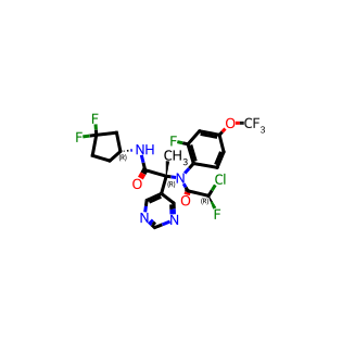 C[C@](C(=O)N[C@@H]1CCC(F)(F)C1)(c1cncnc1)N(C(=O)[C@H](F)Cl)c1ccc(OC(F)(F)F)cc1F